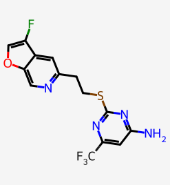 Nc1cc(C(F)(F)F)nc(SCCc2cc3c(F)coc3cn2)n1